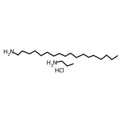 CCCCCCCCCCCCCCCCCCN.CCCN.Cl